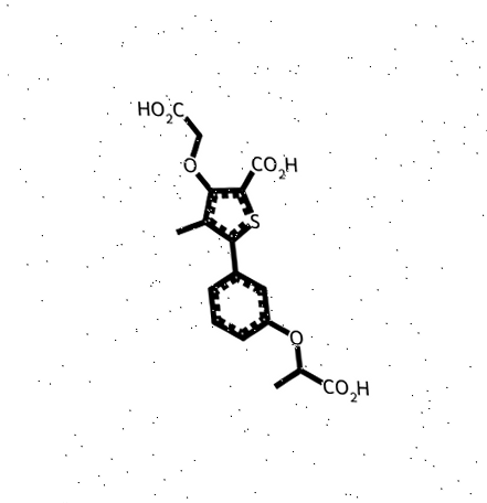 Cc1c(-c2cccc(OC(C)C(=O)O)c2)sc(C(=O)O)c1OCC(=O)O